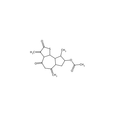 C=C1CC(=O)C2C(=C)C(=O)SC2C2C1CC(OC(C)=O)C2C